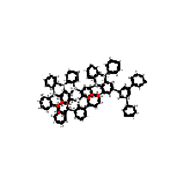 c1ccc(-c2cc(-c3ccccc3)cc(-c3cc4c5c(c3)N(c3ccccc3)c3ccccc3B5c3cc5c(cc3O4)N(c3c(-c4ccccc4)cccc3-c3ccccc3)c3cc4c6c7c3B5c3ccccc3N7c3ccccc3B6c3ccccc3N4c3ccccc3)c2)cc1